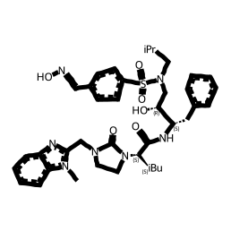 CC[C@H](C)[C@@H](C(=O)N[C@@H](Cc1ccccc1)[C@H](O)CN(CC(C)C)S(=O)(=O)c1ccc(C=NO)cc1)N1CCN(Cc2nc3ccccc3n2C)C1=O